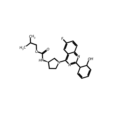 CC(C)COC(=O)N[C@@H]1CCN(c2nc(C3C=CC=CC3O)nc3ccc(F)cc23)C1